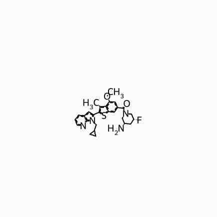 COc1cc(C(=O)N2C[C@H](N)C[C@@H](F)C2)cc2sc(-c3cc4cccnc4n3CC3CC3)c(C)c12